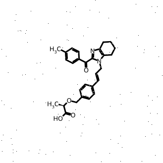 Cc1ccc(C(=O)c2nc3c(n2C/C=C/c2ccc(CO[C@H](C)C(=O)O)cc2)CCCC3)cc1